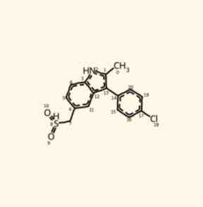 Cc1[nH]c2ccc(C[SH](=O)=O)cc2c1-c1ccc(Cl)cc1